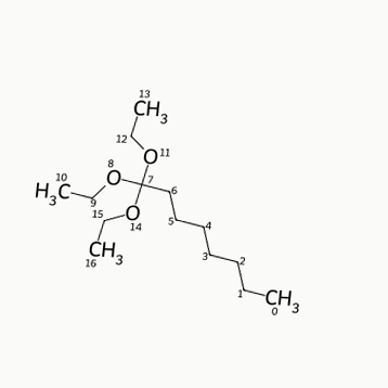 CCCCCCCC(OCC)(OCC)OCC